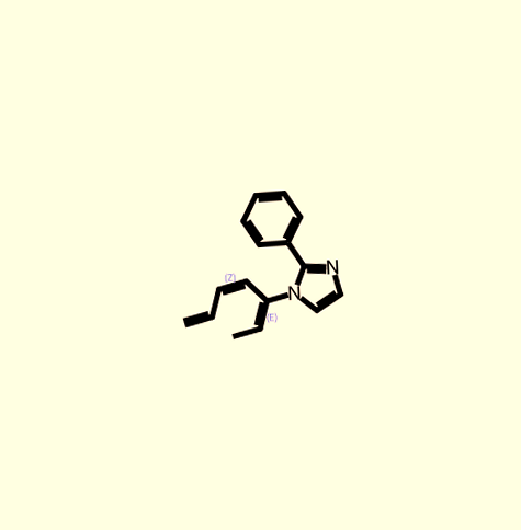 C=C/C=C\C(=C/C)n1ccnc1-c1ccccc1